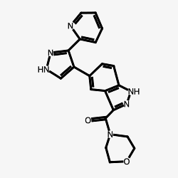 O=C(c1n[nH]c2ccc(-c3c[nH]nc3-c3ccccn3)cc12)N1CCOCC1